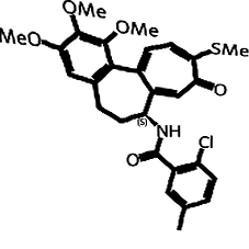 COc1cc2c(c(OC)c1OC)-c1ccc(SC)c(=O)cc1[C@@H](NC(=O)c1cc(C)ccc1Cl)CC2